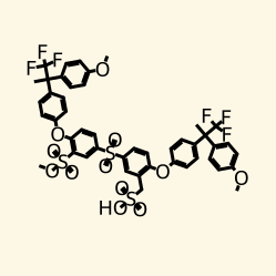 COc1ccc(C(C)(c2ccc(Oc3ccc(S(=O)(=O)c4ccc(Oc5ccc(C(C)(c6ccc(OC)cc6)C(F)(F)F)cc5)c(S(=O)(=O)OC)c4)cc3CS(=O)(=O)O)cc2)C(F)(F)F)cc1